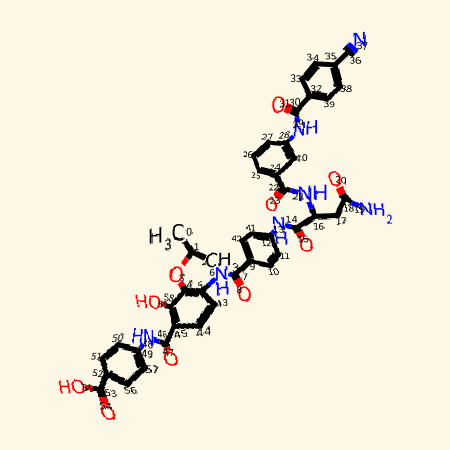 CC(C)Oc1c(NC(=O)c2ccc(NC(=O)C(CC(N)=O)NC(=O)c3cccc(NC(=O)c4ccc(C#N)cc4)c3)cc2)ccc(C(=O)Nc2ccc(C(=O)O)cc2)c1O